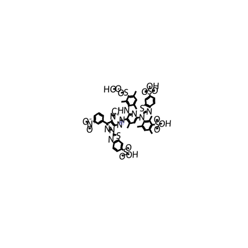 [C-]#[N+]c1c(-c2cccc([N+](=O)[O-])c2)nn(-c2nc3ccc(S(=O)(=O)O)cc3s2)c1/N=N/c1c(C)cc(N(c2nc3ccc(S(=O)(=O)O)cc3s2)c2c(C)cc(C)c(S(=O)(=O)O)c2C)nc1Nc1c(C)cc(C)c(SOOO)c1C